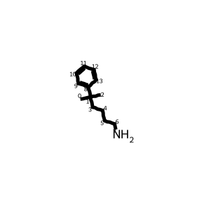 CC(C)(CCCCN)c1ccccc1